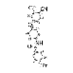 CC(C)c1ccc(C(=O)NC2CCC(Oc3ccc(C#N)c(Cl)c3)CC2)cc1